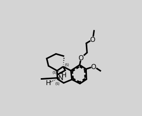 COCCOc1c(OC)ccc2c1[C@]13CCCC[C@@H]1[C@H](C2)N(C)CC3